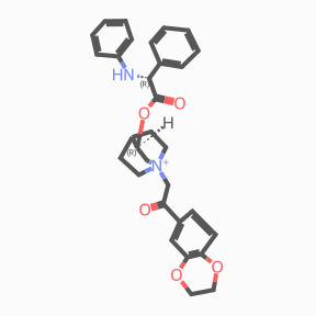 O=C(C[N+]12CCC(CC1)[C@@H](OC(=O)[C@H](Nc1ccccc1)c1ccccc1)C2)c1ccc2c(c1)OCCO2